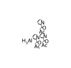 CC(=O)CC(=O)c1ccccn1.CC(=O)CC(=O)c1ccccn1.CC(=O)CC(=O)c1ccccn1.[AlH3]